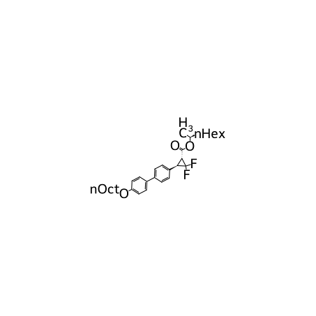 CCCCCCCCOc1ccc(-c2ccc([C@H]3[C@H](C(=O)O[C@@H](C)CCCCCC)C3(F)F)cc2)cc1